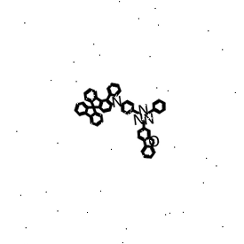 c1ccc(-c2nc(-c3ccc(-n4c5ccccc5c5c6c(ccc54)C4(c5ccccc5-c5ccccc54)c4ccccc4-6)cc3)nc(-c3ccc4c(c3)oc3ccccc34)n2)cc1